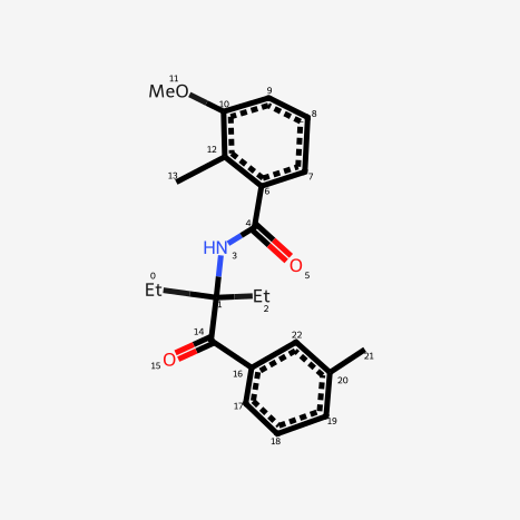 CCC(CC)(NC(=O)c1cccc(OC)c1C)C(=O)c1cccc(C)c1